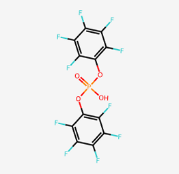 O=P(O)(Oc1c(F)c(F)c(F)c(F)c1F)Oc1c(F)c(F)c(F)c(F)c1F